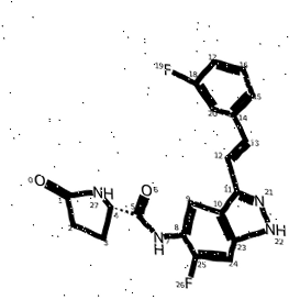 O=C1CC[C@@H](C(=O)Nc2cc3c(/C=C/c4cccc(F)c4)n[nH]c3cc2F)N1